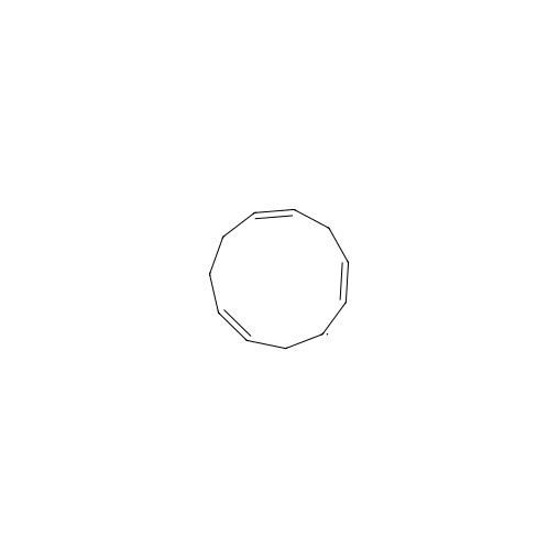 [CH]1C=CCC=CCCC=CC1